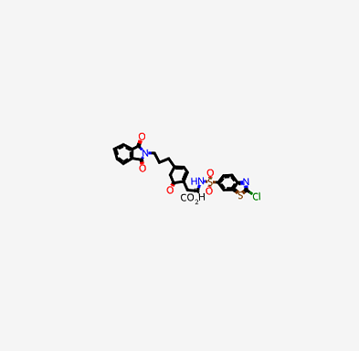 O=C1CC(CCCN2C(=O)c3ccccc3C2=O)=CC=C1C[C@@H](NS(=O)(=O)c1ccc2nc(Cl)sc2c1)C(=O)O